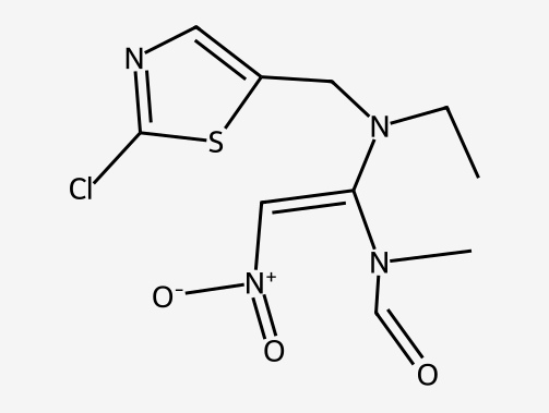 CCN(Cc1cnc(Cl)s1)C(=C[N+](=O)[O-])N(C)C=O